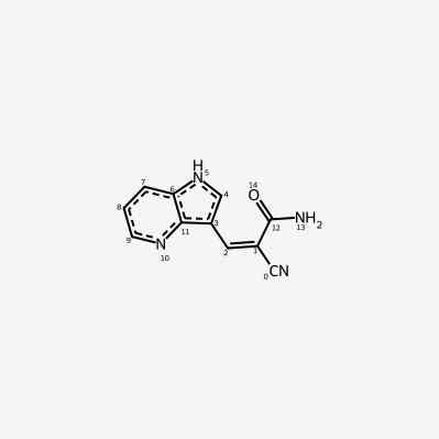 N#C/C(=C/c1c[nH]c2cccnc12)C(N)=O